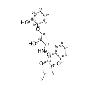 CCCC(Oc1ccccc1)C(=O)ONCC(O)COc1ccccc1O